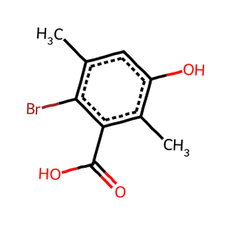 Cc1cc(O)c(C)c(C(=O)O)c1Br